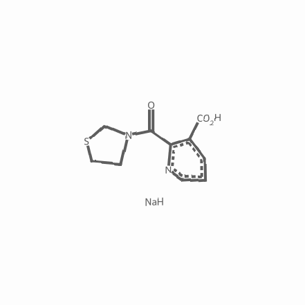 O=C(O)c1cccnc1C(=O)N1CCSC1.[NaH]